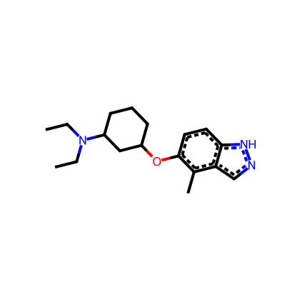 CCN(CC)C1CCCC(Oc2ccc3[nH]ncc3c2C)C1